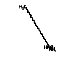 CCCCCCCCCCCCCCCCCCCCCCCCCCCCCCNC(N)=O